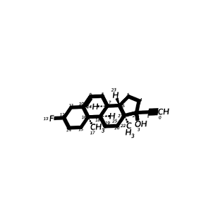 C#CC1(O)CC[C@H]2[C@@H]3CC=C4CC(F)CC[C@]4(C)[C@@H]3CC[C@@]21C